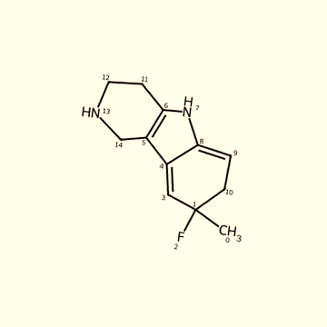 CC1(F)C=c2c3c([nH]c2=CC1)CCNC3